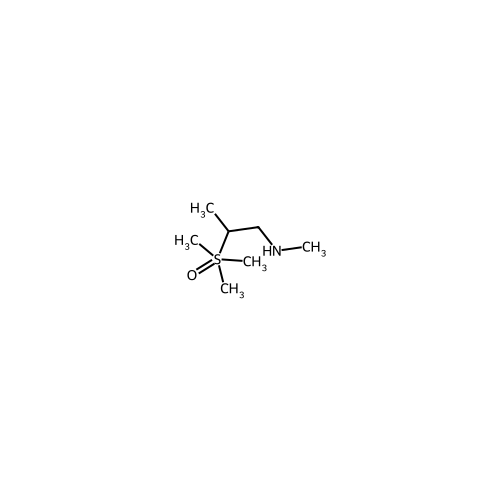 CNCC(C)S(C)(C)(C)=O